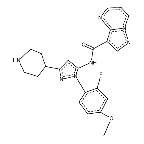 COc1ccc(-n2nc(C3CCNCC3)cc2NC(=O)c2cnn3cccnc23)c(F)c1